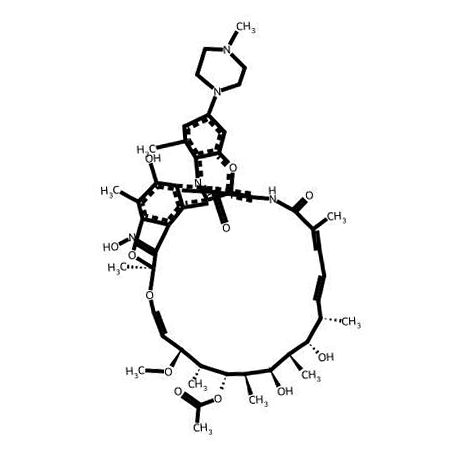 CO[C@H]1/C=C/O[C@@]2(C)Oc3c(C)c(O)c4c(=O)c(c5oc6cc(N7CCN(C)CC7)cc(C)c6nc-5c4c3/C2=N/O)NC(=O)/C(C)=C\C=C\[C@H](C)[C@H](O)[C@@H](C)[C@@H](O)[C@@H](C)[C@H](OC(C)=O)[C@@H]1C